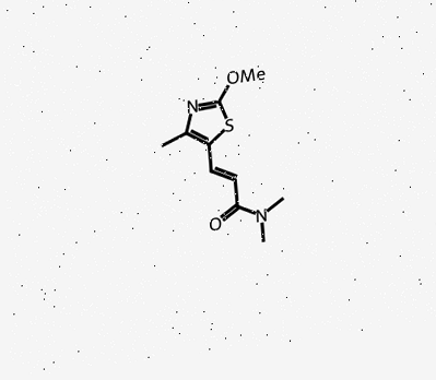 COc1nc(C)c(C=CC(=O)N(C)C)s1